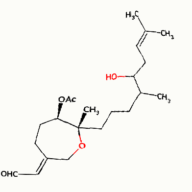 CC(=O)O[C@@H]1CC/C(=C\C=O)CO[C@@]1(C)CCCC(C)C(O)CC=C(C)C